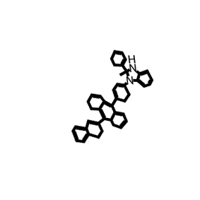 CC1(C2=CC=CCC2)Nc2ccccc2N1C1=CC=C(C2=C3C=CCCC3=C(C3=Cc4ccccc4CC3)C3CC=CC=C23)CC1